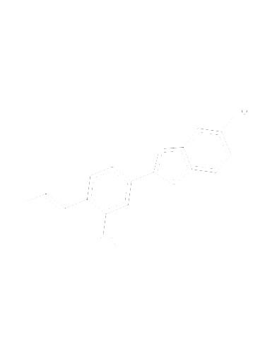 CC=Cc1ccc(-c2cc3ccc(OC)cc3o2)cc1C(=O)O